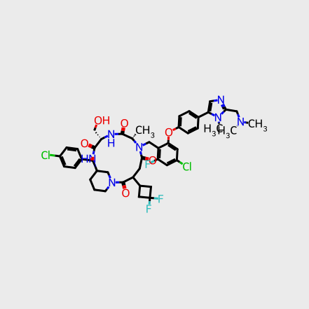 C[C@H]1C(=O)N[C@@H](CO)C(=O)N[C@@]2(Cc3ccc(Cl)cc3)CCCN(C2)C(=O)C(C2CC(F)(F)C2)CC(=O)N1Cc1c(F)cc(Cl)cc1Oc1ccc(-c2cnc(CN(C)C)n2C)cc1